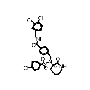 O=C(NCc1ccc(Cl)c(Cl)c1)c1ccc(CN([C@@H]2CCCCNC2=O)S(=O)(=O)c2ccc(Cl)cc2)cc1